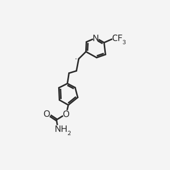 NC(=O)Oc1ccc(CC[CH]c2ccc(C(F)(F)F)nc2)cc1